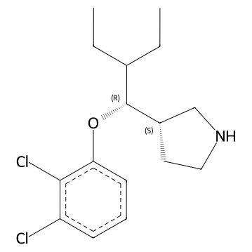 CCC(CC)[C@@H](Oc1cccc(Cl)c1Cl)[C@H]1CCNC1